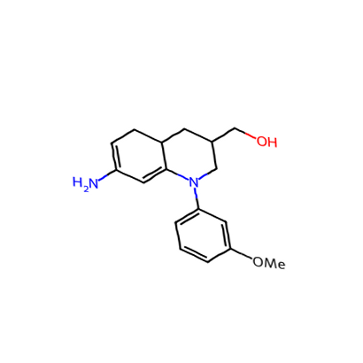 COc1cccc(N2CC(CO)CC3CC=C(N)C=C32)c1